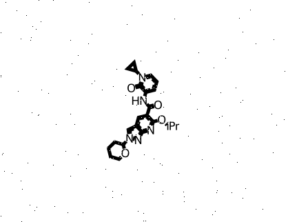 CC(C)Oc1nc2nn(C3CCCCO3)cc2cc1C(=O)Nc1cccn(C2CC2)c1=O